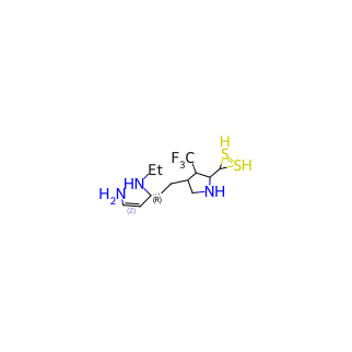 CCN[C@@H](/C=C\N)CCC1CNC(C2[SH]=[SH]2)C1C(F)(F)F